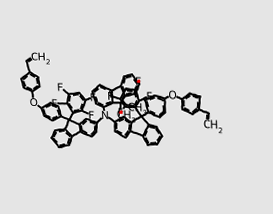 C=Cc1ccc(Oc2ccc(C3(c4c(F)c(F)cc(F)c4F)c4ccccc4-c4ccc(N(c5ccc6c(c5)C(c5ccc(Oc7ccc(C=C)cc7)cc5)(c5c(F)c(F)cc(F)c5F)c5ccccc5-6)c5cccc6c5C(C)(C)c5ccccc5-6)cc43)cc2)cc1